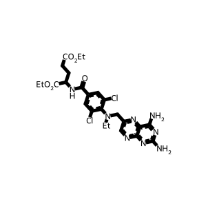 CCOC(=O)CCC(NC(=O)c1cc(Cl)c(N(CC)Cc2cnc3nc(N)nc(N)c3n2)c(Cl)c1)C(=O)OCC